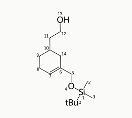 CC(C)(C)[Si](C)(C)OCC1=CCCC(CCO)C1